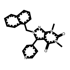 Cn1c(=O)c2c(-c3ccncc3)n(Cc3cccc4ccccc34)nc2n(C)c1=O